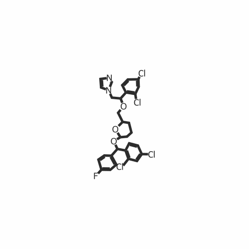 Fc1ccc(C(OC2CCCC(COC(Cn3ccnc3)c3ccc(Cl)cc3Cl)O2)c2ccc(Cl)cc2Cl)cc1